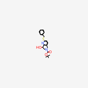 CC(C)(C)OC(=O)N1Cc2ccc(SCc3ccccc3)nc2C(O)C1